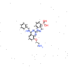 NCCOc1cccc2c(NCc3ccccc3)nc(-n3ncc4c(B(O)O)cccc43)nc12